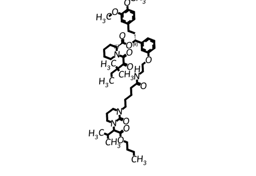 CCCCOC(=O)C(C(C)C)N1CCCN(CCCCC(=O)NCCOc2cccc([C@@H](CCc3ccc(OC)c(OC)c3)OC(=O)[C@@H]3CCCCN3C(=O)C(=O)C(C)(C)CC)c2)C1=O